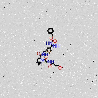 COCCCC(=O)NCC(=O)N1[C@H]2C[C@@]2(C)C[C@H]1C(=O)NCc1cc(C(=N)NC(=O)OCc2ccccc2)cs1